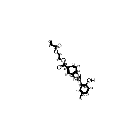 C=CC(=O)OCCOC(=O)c1ccc2c(c1)n1n(-c3cc(C)ccc3O)n21